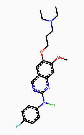 CCN(CC)CCCOc1cc2cnc(N(Cl)c3ccc(F)cc3)nc2cc1OC